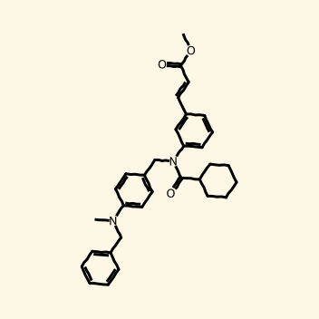 COC(=O)/C=C/c1cccc(N(Cc2ccc(N(C)Cc3ccccc3)cc2)C(=O)C2CCCCC2)c1